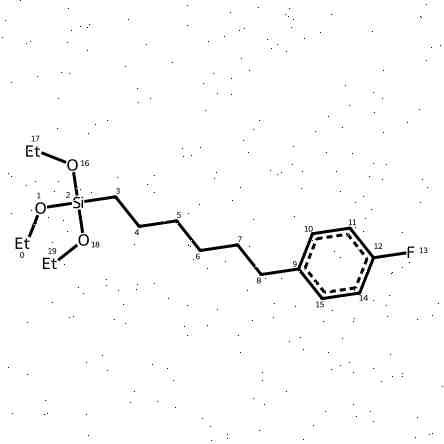 CCO[Si](CCCCCCc1ccc(F)cc1)(OCC)OCC